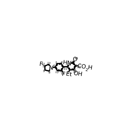 CCc1c(-c2ccc(N3CC[C@H](F)C3)cc2F)[nH]c(=O)c(C(=O)O)c1O